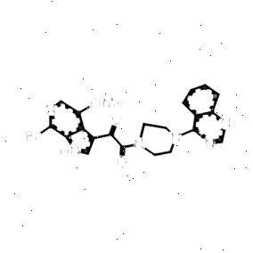 COc1cnc(Br)c2[nH]cc(C(=O)C(=O)N3CCN(c4ncnc5ccccc45)CC3)c12